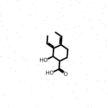 C/C=C1/CCC(C(=O)O)C(O)/C1=C/C